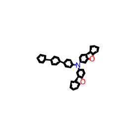 c1ccc(-c2ccc(-c3ccc(N(c4ccc5c(c4)oc4ccccc45)c4ccc5oc6ccccc6c5c4)cc3)cc2)cc1